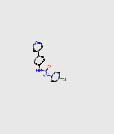 O=C(Nc1ccc(Cl)cc1)Nc1ccc(-c2ccncc2)cc1